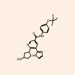 O=C(Nc1ccc(OC(F)(F)F)cc1)c1cnc(N2CCC(O)C2)c(-c2ncc[nH]2)c1